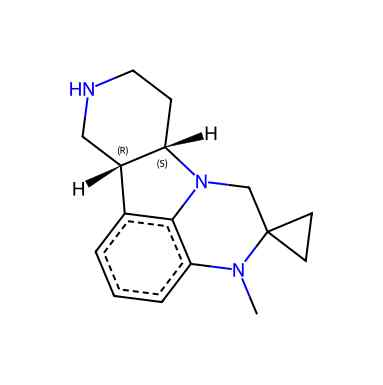 CN1c2cccc3c2N(CC12CC2)[C@H]1CCNC[C@@H]31